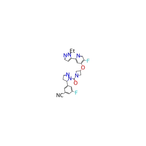 CCn1nccc1-c1cc(OC2CN(C(=O)N3N=CCC3c3cc(F)cc(C#N)c3)C2)c(F)cn1